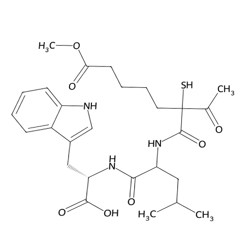 COC(=O)CCCCC(S)(C(C)=O)C(=O)NC(CC(C)C)C(=O)N[C@@H](Cc1c[nH]c2ccccc12)C(=O)O